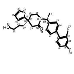 C[C@@H](c1ccc(-c2ccc(F)cc2F)cc1)N1CC[C@](CCCO)(c2cccs2)CC1=O